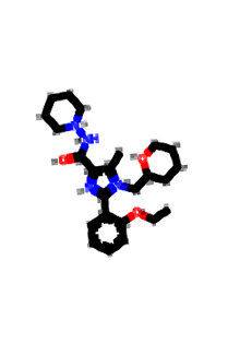 CCOc1ccccc1-c1nc(C(=O)NN2CCCCC2)c(C)n1CC1CCCCO1